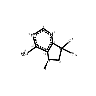 C[C@@H]1CC(F)(F)c2ncnc(C(C)(C)C)c21